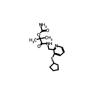 CC(C)(OC(N)=O)C(=O)NCc1ncccc1SC1CCCC1